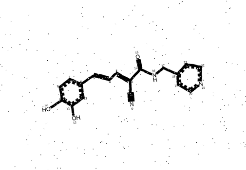 N#C/C(=C\C=C\c1ccc(O)c(O)c1)C(=O)NCc1ccncc1